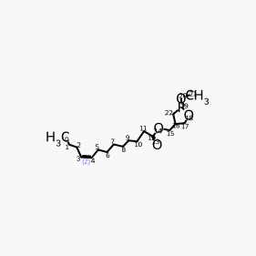 CCC/C=C\CCCCCCCC(=O)OCC1COP(OC)C1